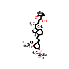 CCCCC(=O)C1([C@@H](O)C=C[C@@H](C)[C@H]2CC[C@H]3C(=CC=C4C[C@@H](O[Si](C)(C)C(C)(C)C)C[C@H](O[Si](C)(C)C(C)(C)C)C4)CCC[C@]23C)CC1